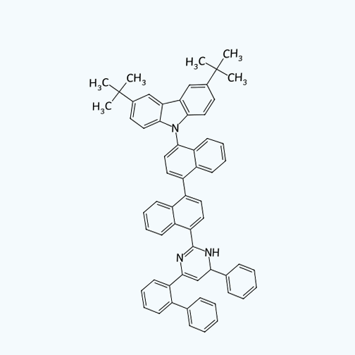 CC(C)(C)c1ccc2c(c1)c1cc(C(C)(C)C)ccc1n2-c1ccc(-c2ccc(C3=NC(c4ccccc4-c4ccccc4)=CC(c4ccccc4)N3)c3ccccc23)c2ccccc12